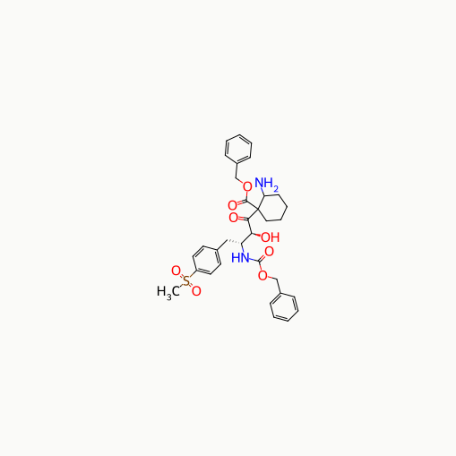 CS(=O)(=O)c1ccc(C[C@@H](NC(=O)OCc2ccccc2)[C@H](O)C(=O)C2(C(=O)OCc3ccccc3)CCCCC2N)cc1